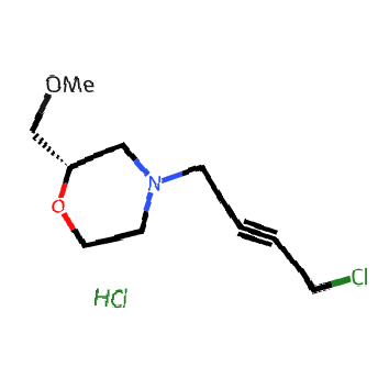 COC[C@@H]1CN(CC#CCCl)CCO1.Cl